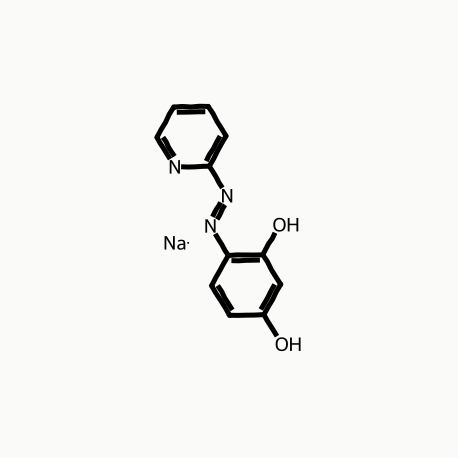 Oc1ccc(N=Nc2ccccn2)c(O)c1.[Na]